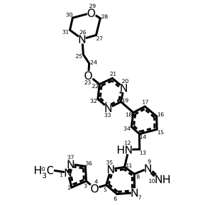 Cn1cc(Oc2cnc(N=N)c(NCc3cccc(-c4ncc(OCCN5CCOCC5)cn4)c3)n2)cn1